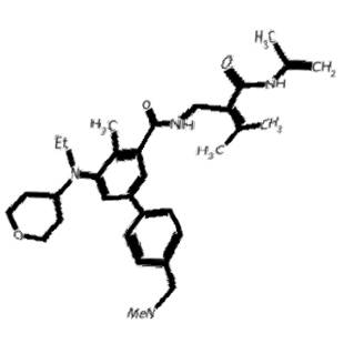 C=C(C)NC(=O)C(CNC(=O)c1cc(-c2ccc(CNC)cc2)cc(N(CC)C2CCOCC2)c1C)=C(C)C